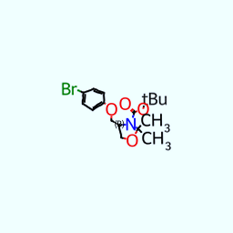 CC(C)(C)OC(=O)N1[C@H](COc2ccc(Br)cc2)COC1(C)C